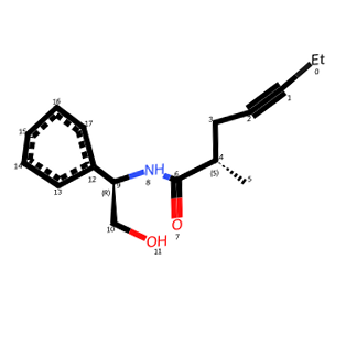 CCC#CC[C@H](C)C(=O)N[C@@H](CO)c1ccccc1